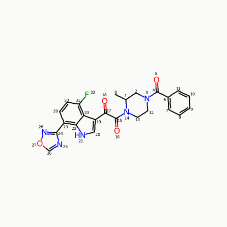 CC1CN(C(=O)c2ccccc2)CCN1C(=O)C(=O)c1c[nH]c2c(-c3ncon3)ccc(F)c12